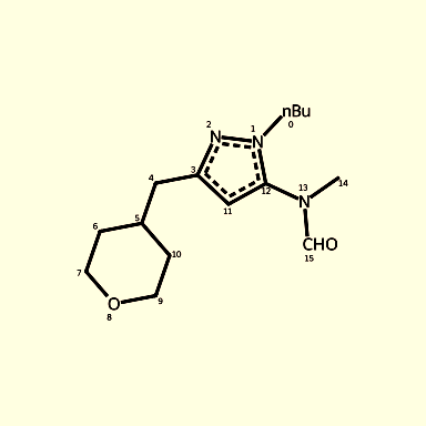 CCCCn1nc(CC2CCOCC2)cc1N(C)C=O